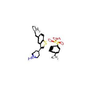 CCc1ccc2scc(C3CCNCC3)c2c1.Cc1ccc(S(=O)(=O)O)cc1